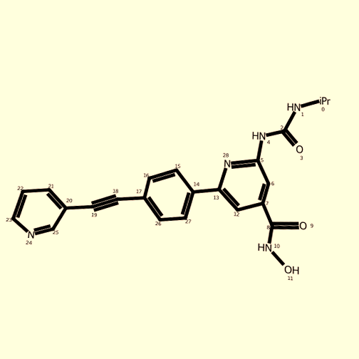 CC(C)NC(=O)Nc1cc(C(=O)NO)cc(-c2ccc(C#Cc3cccnc3)cc2)n1